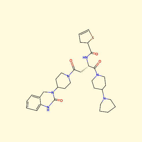 O=C(N[C@@H](CC(=O)N1CCC(N2Cc3ccccc3NC2=O)CC1)C(=O)N1CCC(N2CCCCC2)CC1)C1CC=CS1